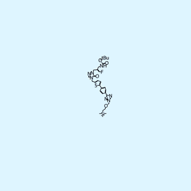 CC(C)(C)OC(=O)NCC(=CF)Cn1ncn(Cc2ccc(-c3ccc(-c4ncn(COCC[Si](C)(C)C)n4)cc3)s2)c1=O